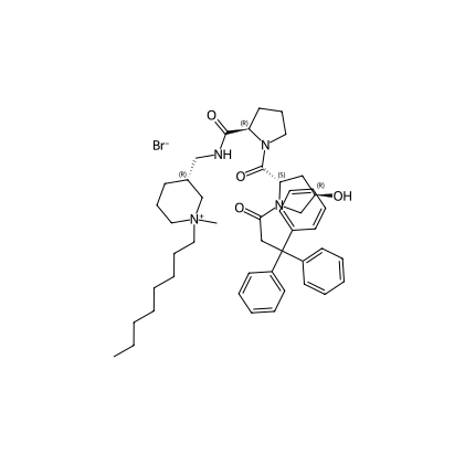 CCCCCCCC[N+]1(C)CCC[C@H](CNC(=O)[C@H]2CCCN2C(=O)[C@@H]2C[C@@H](O)CN2C(=O)CC(c2ccccc2)(c2ccccc2)c2ccccc2)C1.[Br-]